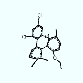 CCOc1ccc(C)c(C)c1-c1c(-c2c(Cl)cc(Cl)cc2Cl)ccc(C)c1C